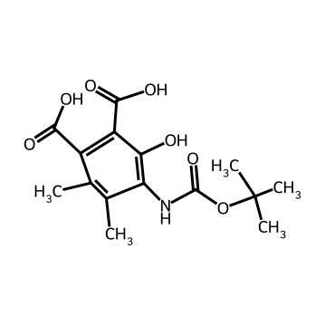 Cc1c(C)c(C(=O)O)c(C(=O)O)c(O)c1NC(=O)OC(C)(C)C